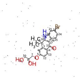 CC1(C)c2cc(OCC(O)CO)ccc2C(=O)c2c1[nH]c1cc(Br)ccc21